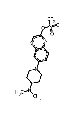 CN(C)C1CCN(c2ccc3nc(OS(=O)(=O)C(F)(F)F)cnc3c2)CC1